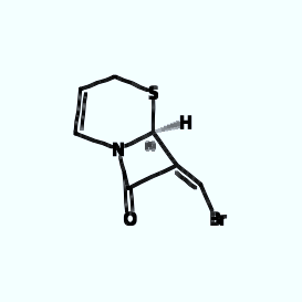 O=C1C(=CBr)[C@@H]2SCC=CN12